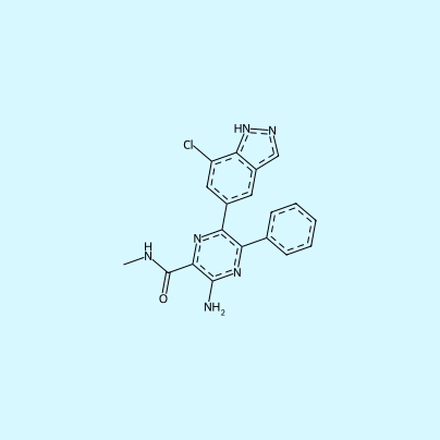 CNC(=O)c1nc(-c2cc(Cl)c3[nH]ncc3c2)c(-c2ccccc2)nc1N